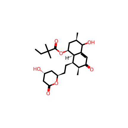 CCC(C)(C)C(=O)O[C@H]1C[C@@H](C)C(O)C2=CC(=O)[C@@H](C)[C@@H](CC[C@@H]3C[C@@H](O)CC(=O)O3)[C@H]21